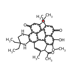 CCC1(CC)CNc2c(c3c4c5c(c(OC)c(O)c6c(=O)cc(OC)c(c7c(OC)cc(=O)c2c74)c65)C(C(C)=O)C(C)=C3)N1